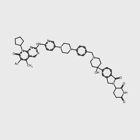 CC(=O)c1c(C)c2cnc(Nc3ccc(N4CCN(c5ccc(CN6CCC(O)(c7ccc8c(c7)CN(C7CCC(=O)NC7=O)C8=O)CC6)cc5)CC4)cn3)nc2n(C2CCCC2)c1=O